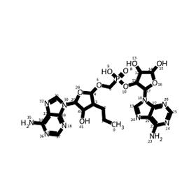 CCCC1C(OCP(=O)(O)OC2C(O)C(O)OC2n2cnc3c(N)ncnc32)OC(n2cnc3c(N)ncnc32)C1O